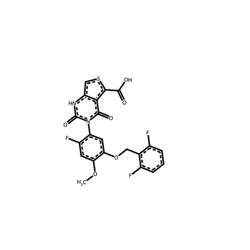 COc1cc(F)c(-n2c(=O)[nH]c3csc(C(=O)O)c3c2=O)cc1OCc1c(F)cccc1F